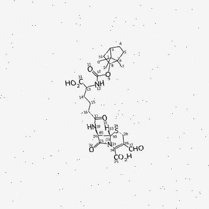 CC1(C)C2CCC1(C)C(OC(=O)NC(CCCC(=O)N[C@@H]1C(=O)N3C(C(=O)O)=C(C=O)CS[C@@H]13)C(=O)O)C2